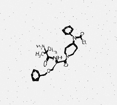 CCC(=O)N(c1ccccc1)C1CCN(C(=O)[C@@H](COCc2ccccc2)NC(=O)C(C)(C)N)CC1